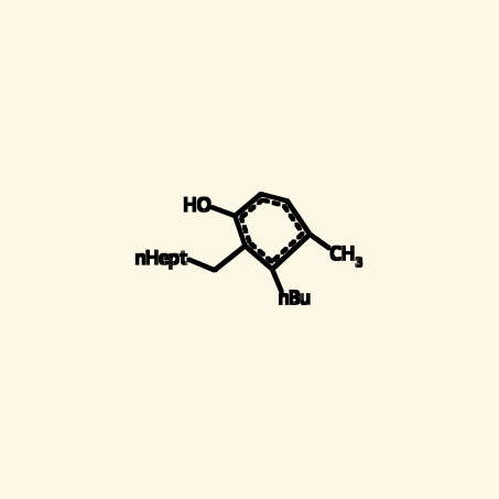 CCCCCCCCc1c(O)ccc(C)c1CCCC